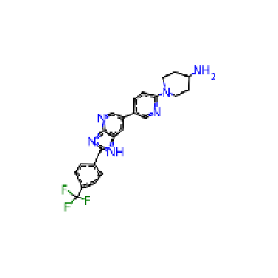 NC1CCN(c2ccc(-c3cnc4nc(-c5ccc(C(F)(F)F)cc5)[nH]c4c3)cn2)CC1